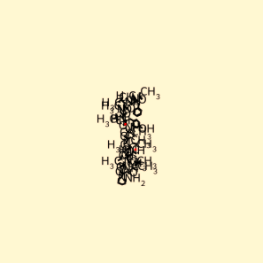 CCC(=O)N(C)[C@@H](Cc1ccccc1)C(=O)N[C@H](C(=O)N(C)[C@@H](CC(C)C)C(=O)N[C@@H](Cc1ccc(O)cc1)C(=O)NC(=O)N(C)[C@@H](C)C(=O)N(C)[C@@H](CC(C)C)C(=O)N[C@@H](COC(C)(C)C)C(=O)N(C)[C@H](C(=O)N[C@@H](C(N)=O)C(=O)N1CCCCC1)C(C)C)C(C)C